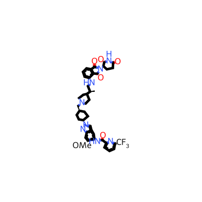 COc1cc2nn([C@H]3CC[C@H](CN4CCC([C@H](C)CNc5cccc6c5C(=O)N(C5CCC(=O)NC5=O)C6=O)CC4)CC3)cc2cc1NC(=O)c1cccc(C(F)(F)F)n1